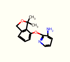 CC1(C)OCc2cccc(Oc3ncccc3N)c21